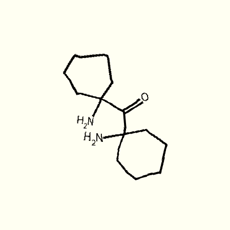 NC1(C(=O)C2(N)CCCCC2)CCCCC1